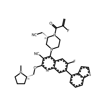 C=C(F)C(=O)N1CCN(c2c(C#N)c(OC[C@@H]3CCCN3C)nc3cc(-c4cccc5sccc45)c(F)cc23)C[C@@H]1CC#N